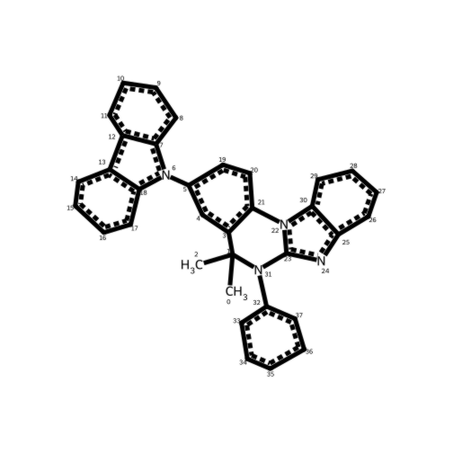 CC1(C)c2cc(-n3c4ccccc4c4ccccc43)ccc2-n2c(nc3ccccc32)N1c1ccccc1